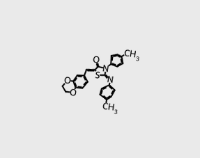 Cc1ccc(N=C2SC(=Cc3ccc4c(c3)OCCO4)C(=O)N2c2ccc(C)cc2)cc1